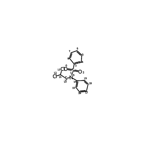 O=S(=O)(c1ccccc1)N(SC(Cl)Cl)c1ccccc1